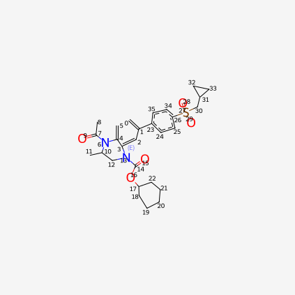 C=C(/C=C1\C(=C)N(C(C)=O)C(C)CN1C(=O)OC1CCCCC1)c1ccc(S(=O)(=O)CC2CC2)cc1